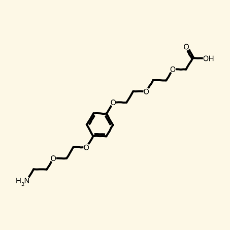 NCCOCCOc1ccc(OCCOCCOCC(=O)O)cc1